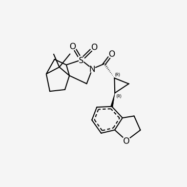 CC1(C)C2CCC13CN(C(=O)[C@@H]1C[C@H]1c1cccc4c1CCO4)S(=O)(=O)C3C2